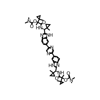 CN(C)C(=O)OC(C)(C(=O)N[C@H](c1nc2ccc(-c3cnc(-c4ccc5nc([C@@H](NC(=O)C(C)(OC(=O)N(C)C)C6(C)CC6)C6(C)CC6)[nH]c5c4)cn3)cc2[nH]1)C1(C)CC1)C1(C)CC1